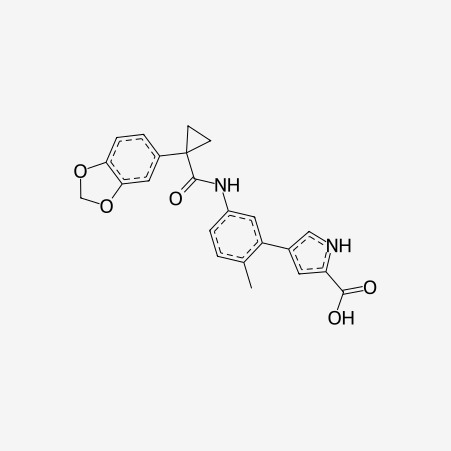 Cc1ccc(NC(=O)C2(c3ccc4c(c3)OCO4)CC2)cc1-c1c[nH]c(C(=O)O)c1